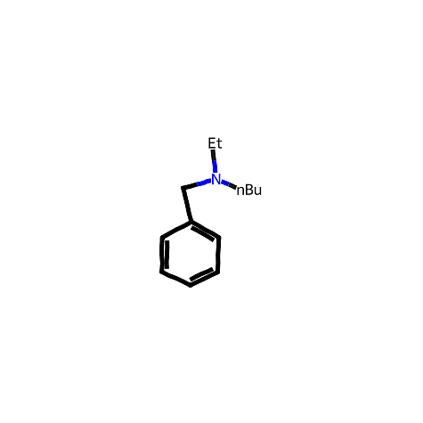 [CH2]CN(CCCC)Cc1ccccc1